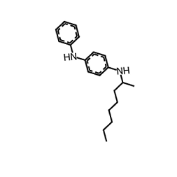 CCCCCCC(C)Nc1ccc(Nc2ccccc2)cc1